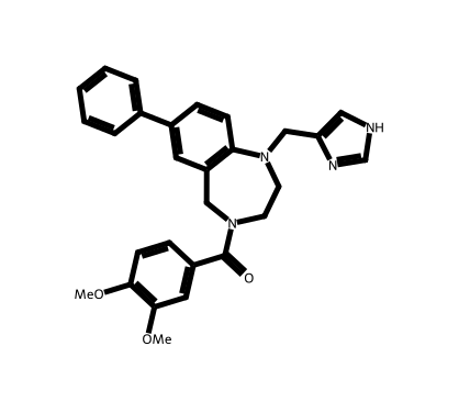 COc1ccc(C(=O)N2CCN(Cc3c[nH]cn3)c3ccc(-c4ccccc4)cc3C2)cc1OC